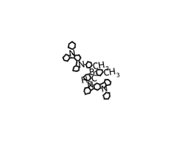 Cc1cc(C)c(B(c2cccc(-n3c4ccccc4c4cc5c(cc43)c3ccccc3n5-c3ccccc3)c2)c2cccc(-n3c4ccccc4c4c5c6ccccc6n(-c6ccccc6)c5ccc43)c2)c(C)c1